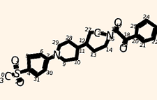 CS(=O)(=O)c1ccc(N2CCC(C3CCN(C(=O)C(=O)c4ccccc4)CC3)CC2)cc1